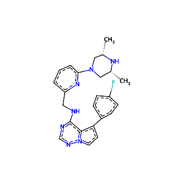 C[C@@H]1CN(c2cccc(CNc3ncnn4ccc(-c5ccc(F)cc5)c34)n2)C[C@H](C)N1